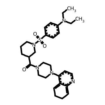 CCN(CC)c1ccc(S(=O)(=O)N2CCCC(C(=O)N3CCN(c4ccnc5c4=CCCC=5)CC3)C2)cc1